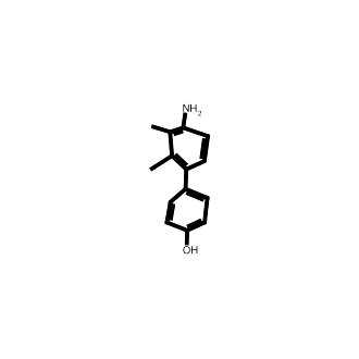 Cc1c(N)ccc(-c2ccc(O)cc2)c1C